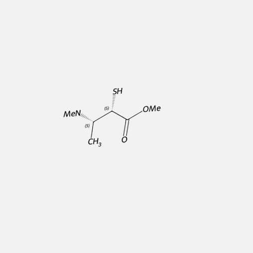 CN[C@@H](C)[C@H](S)C(=O)OC